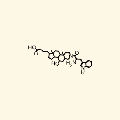 CC12CCC3C(C(O)CC4CN(C(=O)C(N)Cc5c[nH]c6ccccc56)CCC43C)C1CCC2CCCC(=O)O